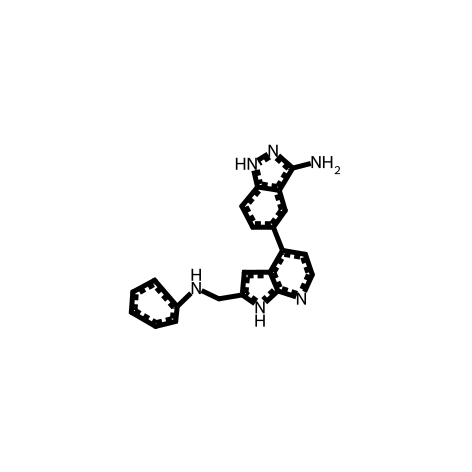 Nc1n[nH]c2ccc(-c3ccnc4[nH]c(CNc5ccccc5)cc34)cc12